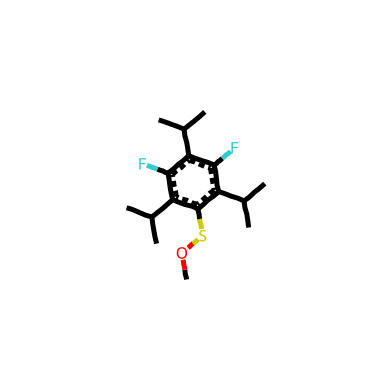 COSc1c(C(C)C)c(F)c(C(C)C)c(F)c1C(C)C